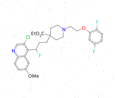 CCOC(=O)C1(CCC(F)c2c(Cl)cnc3ccc(OC)cc23)CCN(CCOc2cc(F)ccc2F)CC1